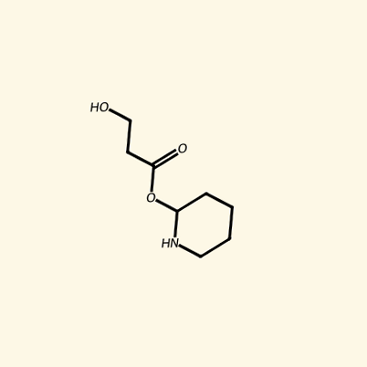 O=C(CCO)OC1CCCCN1